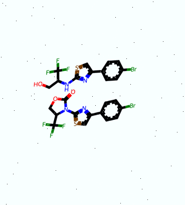 O=C1OCC(C(F)(F)F)N1c1nc(-c2ccc(Br)cc2)cs1.OCC(Nc1nc(-c2ccc(Br)cc2)cs1)C(F)(F)F